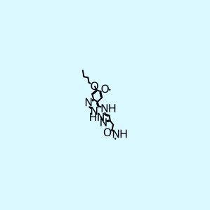 CCCCOc1cc2ncnc(Nc3cc(CC(=O)NC)n[nH]3)c2cc1OC